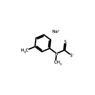 Cc1cccc(N(C)C(=S)[S-])c1.[Na+]